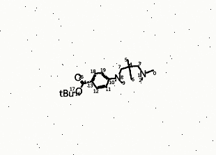 CN(C)CC(C)(C)CN(C)c1ccc(C(=O)OC(C)(C)C)cc1